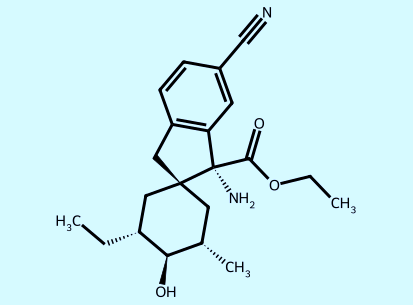 CCOC(=O)[C@]1(N)c2cc(C#N)ccc2C[C@@]12C[C@@H](CC)[C@H](O)[C@@H](C)C2